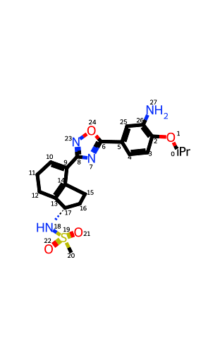 CC(C)Oc1ccc(-c2nc(C3=CCCC4=C3CC[C@@H]4NS(C)(=O)=O)no2)cc1N